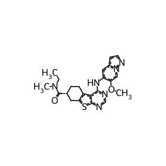 CCN(C)C(=O)[C@H]1CCc2c(sc3ncnc(Nc4cc5ccnn5cc4OC)c23)C1